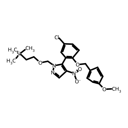 COc1ccc(COc2ccc(Cl)cc2-c2c([N+](=O)[O-])cnn2COCC[Si](C)(C)C)cc1